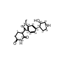 Cn1nc(C2CCC(=O)NC2=O)c2ccc([C@@H]3CCNC[C@@H]3O)cc21